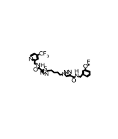 O=C(NCc1cccc(OCF)c1)c1cn(CCCCc2nnc(C(=O)NCc3cc(C(F)(F)F)ccn3)s2)nn1